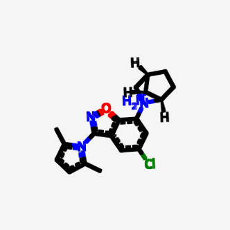 Cc1ccc(C)n1-c1noc2c(N3C[C@@H]4CC[C@H]3[C@@H]4N)cc(Cl)cc12